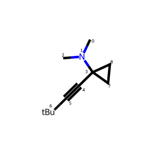 CN(C)C1(C#CC(C)(C)C)CC1